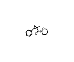 CC1(C(=O)N2CCCCO2)CC1c1ccccc1